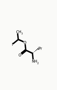 CC(I)OC(=O)[C@@H](N)C(C)C